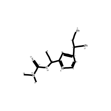 CC(C)CC(c1ccnc(C(C)SC(=S)N(C)C)c1)C(C)C